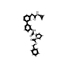 O=C(Cc1cccc(-c2cccc(NC(=O)[C@@H]3CCCN3C(=O)OCc3ccccc3)c2)c1)NC1CC1